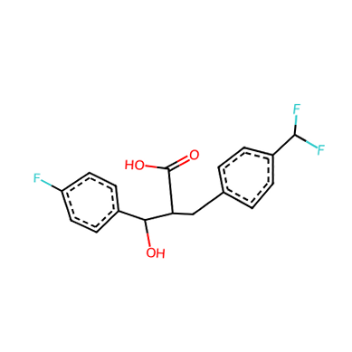 O=C(O)C(Cc1ccc(C(F)F)cc1)C(O)c1ccc(F)cc1